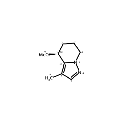 CO[C@H]1CCCn2ncc(C)c21